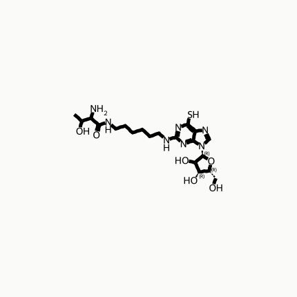 CC(O)C(N)C(=O)NCCCCCCNc1nc(S)c2ncn([C@@H]3O[C@H](CO)[C@H](O)C3O)c2n1